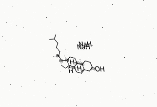 CC(C)CCC[C@@H](C)[C@H]1CC[C@H]2[C@@H]3CC=C4C[C@@H](O)CC[C@]4(C)[C@H]3CC[C@]12C.[NaH].[NaH]